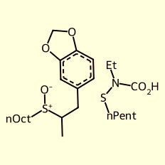 CCCCCCCC[S+]([O-])C(C)Cc1ccc2c(c1)OCO2.CCCCCSN(CC)C(=O)O